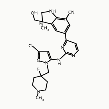 CN1CCC(F)(Cn2nc(Cl)cc2Nc2nccc(-c3cc(C#N)c4c(c3)[C@@](C)(CO)CN4)n2)CC1